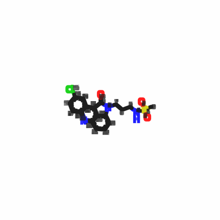 CS(=O)(=O)NCCCN1C(=O)c2c3cc(Cl)ccc3nc3cccc1c23